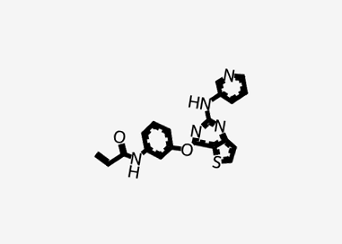 C=CC(=O)Nc1cccc(Oc2nc(Nc3cccnc3)nc3ccsc23)c1